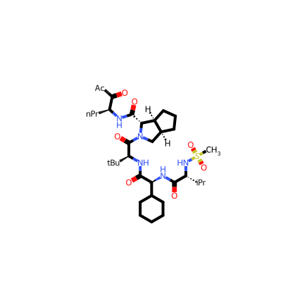 CCC[C@H](NC(=O)[C@@H]1[C@H]2CCC[C@H]2CN1C(=O)[C@@H](NC(=O)[C@@H](NC(=O)[C@H](NS(C)(=O)=O)C(C)C)C1CCCCC1)C(C)(C)C)C(=O)C(C)=O